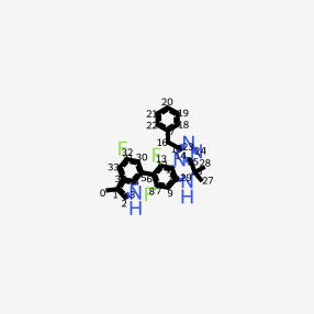 Cc1c[nH]c2c(-c3c(F)cc4c(c3F)-n3c(Cc5ccccc5)nnc3C(C)(C)N4)cc(F)cc12